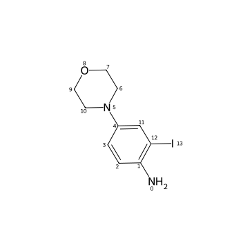 Nc1ccc(N2CCOCC2)cc1I